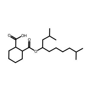 CC(C)CCCCC(CC(C)C)OC(=O)C1CCCCC1C(=O)O